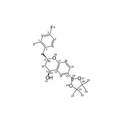 Cc1cc(F)ccc1C[C@@H]1C[C@H](O)c2cc(B3OC(C)(C)C(C)(C)O3)ccc2O1